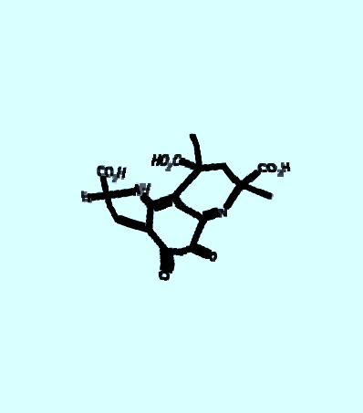 CCC1(C(=O)O)C=C2C(=O)C(=O)C3=NC(C)(C(=O)O)CC(C)(C(=O)O)C3=C2N1